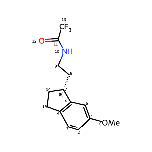 COc1ccc2c(c1)[C@@H](CCNC(=O)C(F)(F)F)CC2